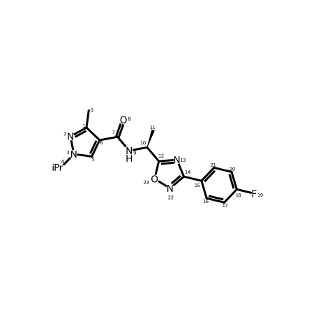 Cc1nn(C(C)C)cc1C(=O)N[C@@H](C)c1nc(-c2ccc(F)cc2)no1